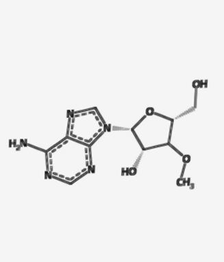 COC1[C@@H](CO)O[C@@H](n2cnc3c(N)ncnc32)[C@H]1O